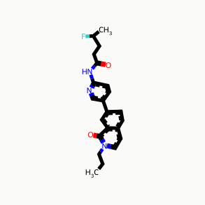 CCCn1ccc2ccc(-c3ccc(NC(=O)CCC(C)F)nc3)cc2c1=O